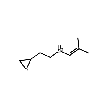 CC(C)=C[SiH2]CCC1CO1